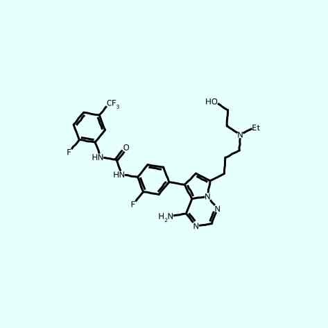 CCN(CCO)CCCc1cc(-c2ccc(NC(=O)Nc3cc(C(F)(F)F)ccc3F)c(F)c2)c2c(N)ncnn12